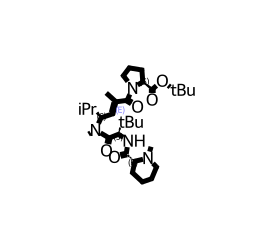 C/C(=C\[C@H](C(C)C)N(C)C(=O)[C@@H](NC(=O)[C@H]1CCCCN1C)C(C)(C)C)C(=O)N1CCC[C@H]1C(=O)OC(C)(C)C